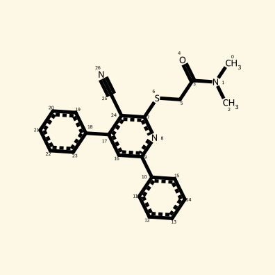 CN(C)C(=O)CSc1nc(-c2ccccc2)cc(-c2ccccc2)c1C#N